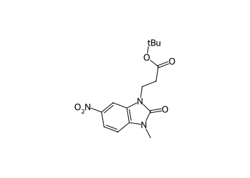 Cn1c(=O)n(CCC(=O)OC(C)(C)C)c2cc([N+](=O)[O-])ccc21